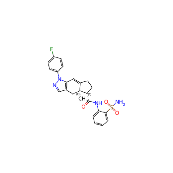 C[C@]12Cc3cnn(-c4ccc(F)cc4)c3C=C1CC[C@@H]2C(=O)Nc1ccccc1S(N)(=O)=O